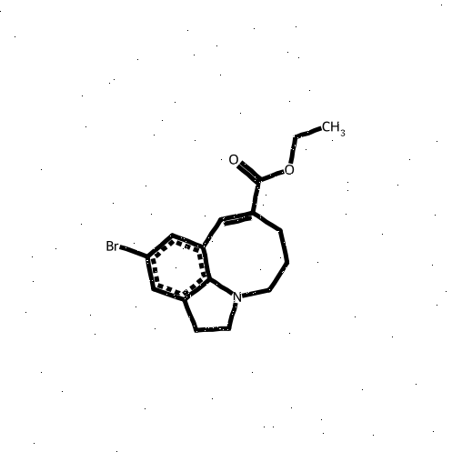 CCOC(=O)/C1=C/c2cc(Br)cc3c2N(CCC1)CC3